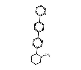 CN1CCCCC1c1ccc(-c2ccc(-c3ncccn3)cc2)cc1